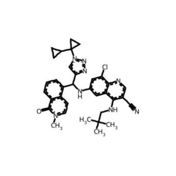 Cn1ccc2c(C(Nc3cc(Cl)c4ncc(C#N)c(NCC(C)(C)C)c4c3)c3cn(C4(C5CC5)CC4)nn3)cccc2c1=O